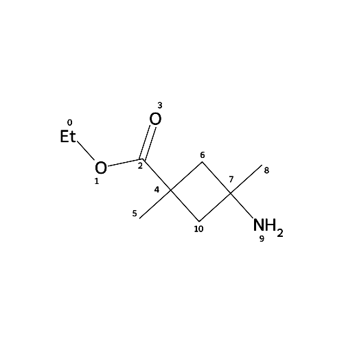 CCOC(=O)C1(C)CC(C)(N)C1